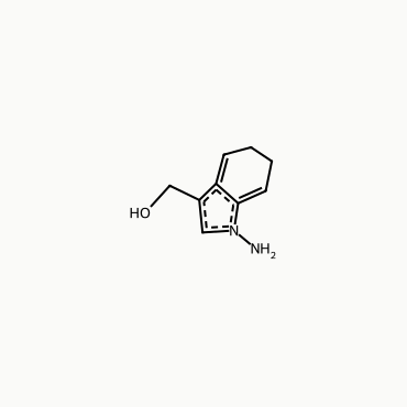 Nn1cc(CO)c2c1=CCCC=2